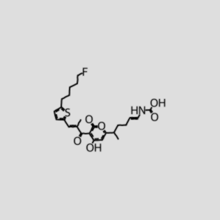 C/C(=C\c1ccc(CCCCCF)s1)C(=O)c1c(O)cc(C(C)CC/C=C/NC(=O)O)oc1=O